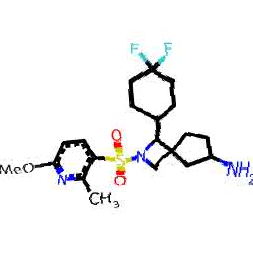 COc1ccc(S(=O)(=O)N2CC3(CCC(N)C3)C2C2CCC(F)(F)CC2)c(C)n1